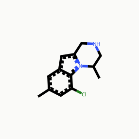 Cc1cc(Cl)c2c(c1)cc1n2C(C)CNC1